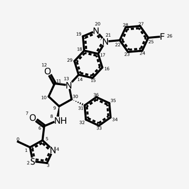 Cc1scnc1C(=O)N[C@H]1CC(=O)N(c2ccc3c(cnn3-c3ccc(F)cc3)c2)[C@@H]1c1ccccc1